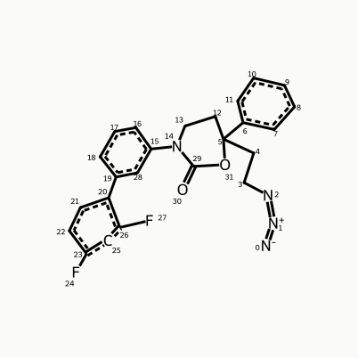 [N-]=[N+]=NCCC1(c2ccccc2)CCN(c2cccc(-c3ccc(F)cc3F)c2)C(=O)O1